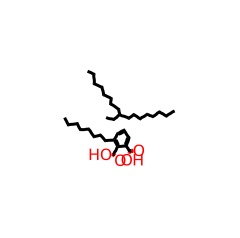 CCCCCCCCC(CC)CCCCCCCC.CCCCCCCCc1cccc(C(=O)O)c1C(=O)O